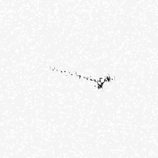 NCCOCCOCCOCCOCCOCCNc1ccc(S(N)(=O)=O)cc1[N+](=O)[O-]